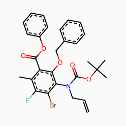 C=CCN(C(=O)OC(C)(C)C)c1c(Br)c(F)c(C)c(C(=O)Oc2ccccc2)c1OCc1ccccc1